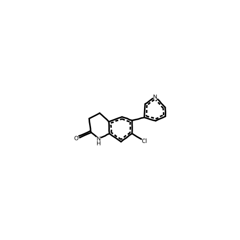 O=C1CCc2cc(-c3cccnc3)c(Cl)cc2N1